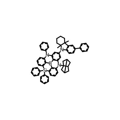 CC12CCCCC1(C)N(c1cc3c4c(c1)N(C15CC6CC1CC6C5)c1cccc5c1B4c1c(cccc1[Si]5(c1ccccc1)c1ccccc1)N3c1ccccc1)c1ccc(-c3ccccc3)cc12